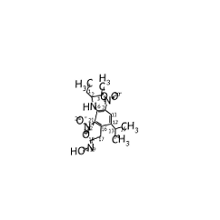 CCC(CC)Nc1c([N+](=O)[O-])cc(C(C)C)c(CC=NO)c1[N+](=O)[O-]